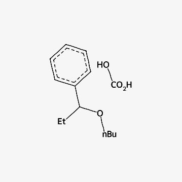 CCCCOC(CC)c1ccccc1.O=C(O)O